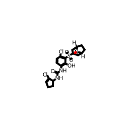 CN1[C@@H]2CC[C@H]1CC(S(=O)(=O)c1c(Cl)ccc(NC(=O)NC3CCC=C3Cl)c1O)C2